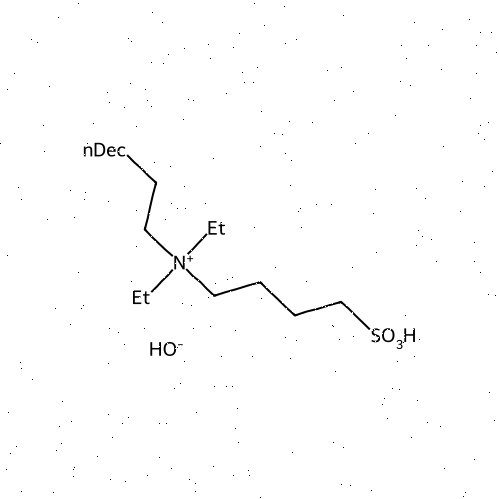 CCCCCCCCCCCC[N+](CC)(CC)CCCCS(=O)(=O)O.[OH-]